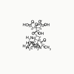 COC(=O)C1(N)CCC1(C(=O)C(C)N)C(=O)C(C)N.O=C(O)CC(O)(CC(=O)O)C(=O)O